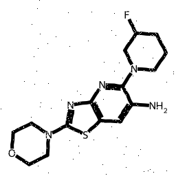 Nc1cc2sc(N3CCOCC3)nc2nc1N1CCCC(F)C1